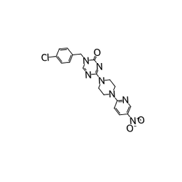 O=c1nc(N2CCN(c3ccc([N+](=O)[O-])cn3)CC2)ncn1Cc1ccc(Cl)cc1